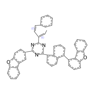 C/C=C(\C=C/c1ccccc1)c1nc(-c2ccc3oc4ccccc4c3c2)nc(-c2cccc3c(-c4cccc5oc6ccccc6c45)cccc23)n1